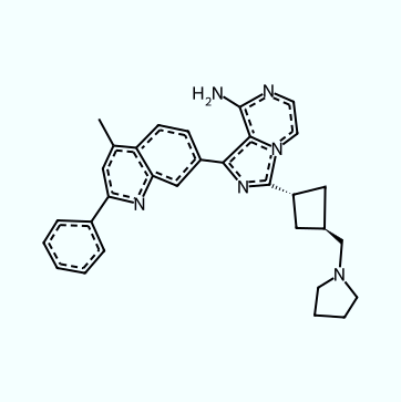 Cc1cc(-c2ccccc2)nc2cc(-c3nc([C@H]4C[C@H](CN5CCCC5)C4)n4ccnc(N)c34)ccc12